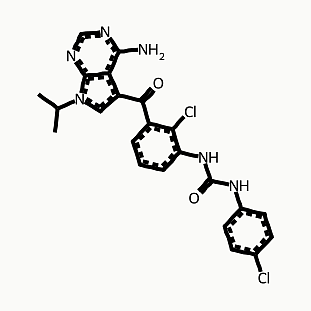 CC(C)n1cc(C(=O)c2cccc(NC(=O)Nc3ccc(Cl)cc3)c2Cl)c2c(N)ncnc21